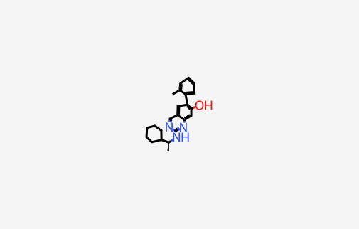 Cc1ccccc1-c1cc2cnc(N[C@@H](C)C3CCCCC3)nc2cc1O